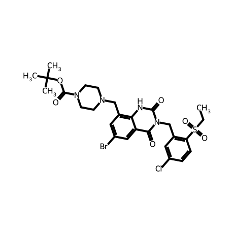 CCS(=O)(=O)c1ccc(Cl)cc1Cn1c(=O)[nH]c2c(CN3CCN(C(=O)OC(C)(C)C)CC3)cc(Br)cc2c1=O